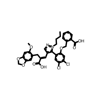 CCCCn1ncc(/C=C(\Cc2cc3c(cc2OC)OCO3)C(=O)O)c1-c1cc(Cl)c(Cl)cc1OCc1ccccc1C(=O)O